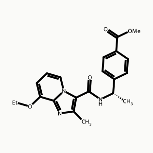 CCOc1cccn2c(C(=O)N[C@@H](C)c3ccc(C(=O)OC)cc3)c(C)nc12